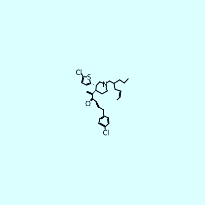 C=C(C(=O)/C=C/Cc1ccc(Cl)cc1)[C@@H]1CCN(CC(C/C=C\C)CCC)C[C@H]1c1ccc(Cl)s1